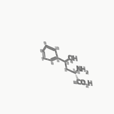 N[C@@H](CC(O)c1ccccc1)C(=O)O